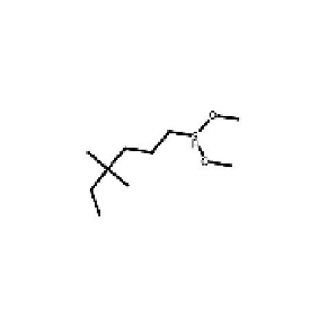 CCC(C)(C)CCC[SiH](OC)OC